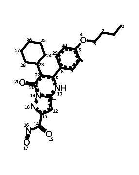 CCCCOc1ccc(-c2[nH]c3cc(C(=O)N=O)nn3c(=O)c2C2CCCCC2)cc1